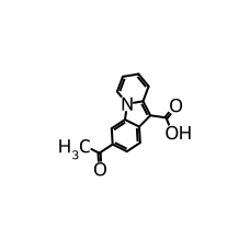 CC(=O)c1ccc2c(C(=O)O)c3ccccn3c2c1